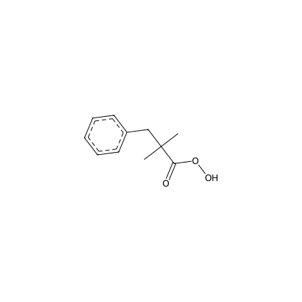 CC(C)(Cc1ccccc1)C(=O)OO